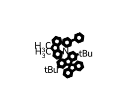 CC(C)(C)c1ccc2c(c1)C1(c3ccccc3-c3ccccc31)c1cc(C(C)(C)C)cc(N(c3cccc(-c4ccccc4)c3)c3cccc4c3-c3ccccc3C4(C)C)c1-2